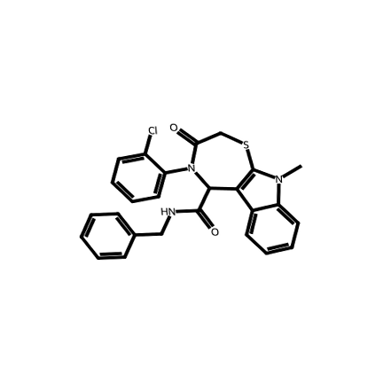 Cn1c2c(c3ccccc31)C(C(=O)NCc1ccccc1)N(c1ccccc1Cl)C(=O)CS2